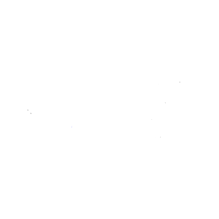 CC(C)(/C=C/C#N)CCC(=O)C12CC(C)(C1)C2